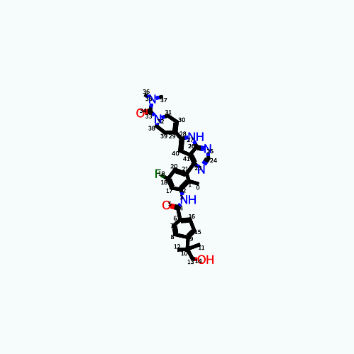 Cc1c(NC(=O)c2ccc(C(C)(C)CO)cc2)cc(F)cc1-c1ncnc2[nH]c(C3=CCN(C(=O)N(C)C)CC3)cc12